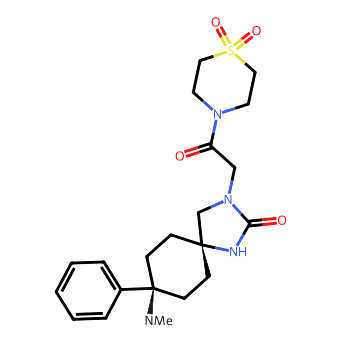 CN[C@]1(c2ccccc2)CC[C@@]2(CC1)CN(CC(=O)N1CCS(=O)(=O)CC1)C(=O)N2